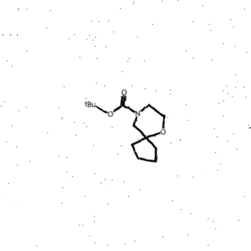 CC(C)(C)OC(=O)N1CCOC2(CCCC2)C1